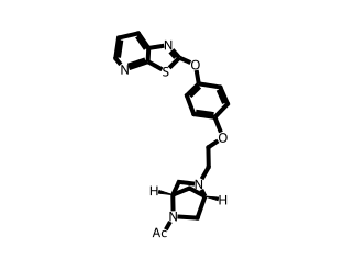 CC(=O)N1C[C@@H]2C[C@H]1CN2CCOc1ccc(Oc2nc3cccnc3s2)cc1